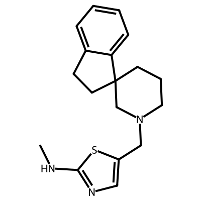 CNc1ncc(CN2CCCC3(CCc4ccccc43)C2)s1